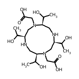 CC(O)[C@H]1CN[C@@H](C(C)O)CN(CC(=O)O)[C@@H](C(C)O)CN[C@@H](C(C)O)CN1CC(=O)O